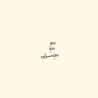 OO.[KH].[KH]